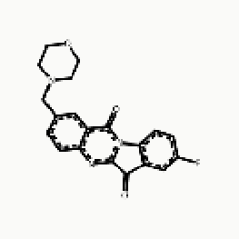 O=C1c2cc(F)ccc2-n2c1nc1ccc(CN3CCOCC3)cc1c2=O